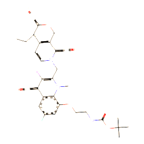 CC[C@@]1(O)C(=C=O)OCC2=C1C=CN(CC1=C(I)C(=C=O)c3cc(F)cc(OCCNC(=O)OC(C)(C)C)c3N1C)C2=C=O